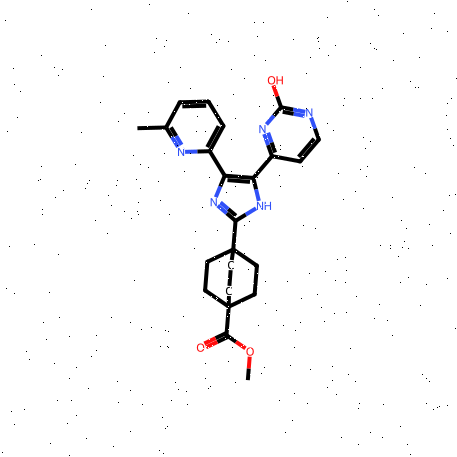 COC(=O)C12CCC(c3nc(-c4cccc(C)n4)c(-c4ccnc(O)n4)[nH]3)(CC1)CC2